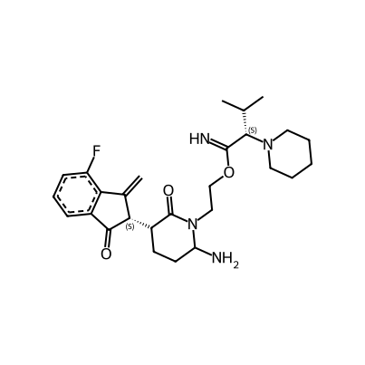 C=C1c2c(F)cccc2C(=O)[C@H]1C1CCC(N)N(CCOC(=N)[C@H](C(C)C)N2CCCCC2)C1=O